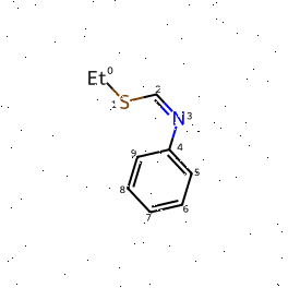 CCS/C=N\c1ccccc1